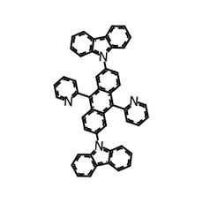 c1ccc(-c2c3ccc(-n4c5ccccc5c5ccccc54)cc3c(-c3ccccn3)c3ccc(-n4c5ccccc5c5ccccc54)cc23)nc1